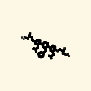 CC(C)Cc1cc(-c2ccc(-c3ccc(CCC(=O)ON)cc3CC(C)C)cc2Cc2ccccc2)ccc1OCC(=O)ON